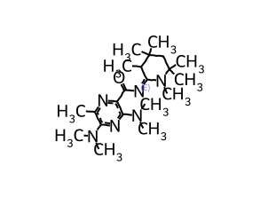 Cc1nc(C(=O)/N=C2\C(C)C(C)(C)CC(C)(C)N2C)c(N(C)C)nc1N(C)C